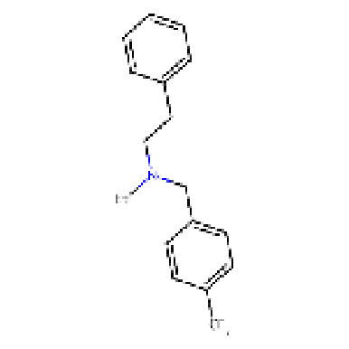 CCN(CCc1ccccc1)Cc1ccc(C(F)(F)F)cc1